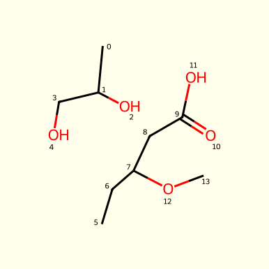 CC(O)CO.CCC(CC(=O)O)OC